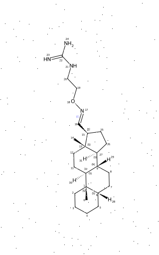 C[C@]12CCCC[C@H]1CC[C@@H]1[C@@H]2CC[C@]2(C)[C@@H](/C=N/OCCNC(=N)N)CC[C@@H]12